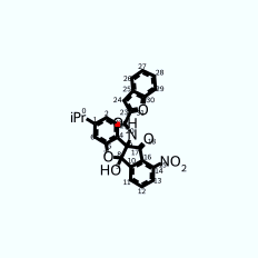 CC(C)c1ccc2c(c1)OC1(O)c3cccc([N+](=O)[O-])c3C(=O)C21NC(=O)c1cc2ccccc2o1